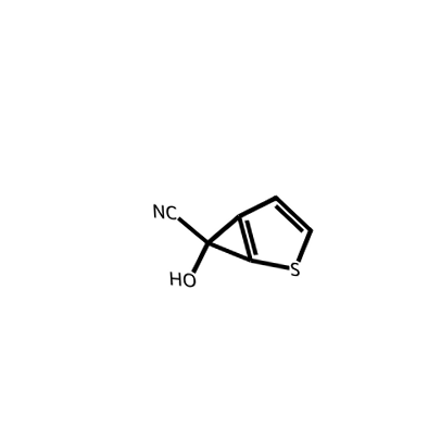 N#CC1(O)c2ccsc21